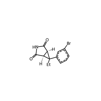 CCC1(c2cccc(Br)c2)[C@@H]2C(=O)NC(=O)[C@@H]21